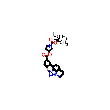 CC(C)(C)OC(=O)N1CCC(OC(=O)C2=CC3=c4ccc5c(c4NSC3C=C2)NC=CC=5)C1